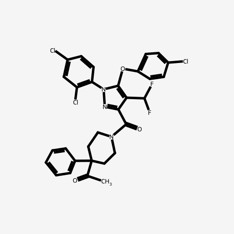 CC(=O)C1(c2ccccc2)CCN(C(=O)c2nn(-c3ccc(Cl)cc3Cl)c(Oc3ccc(Cl)cc3)c2C(F)F)CC1